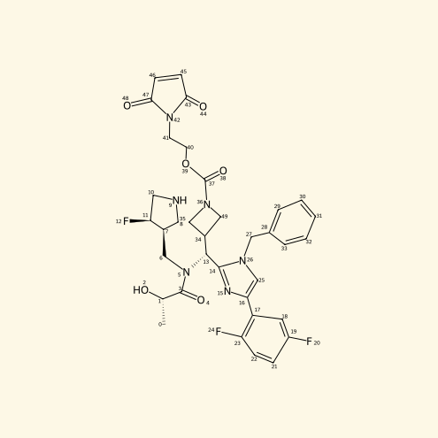 C[C@H](O)C(=O)N(C[C@@H]1CNC[C@@H]1F)[C@@H](c1nc(-c2cc(F)ccc2F)cn1Cc1ccccc1)C1CN(C(=O)OCCN2C(=O)C=CC2=O)C1